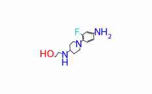 Nc1ccc(N2CCC(NCCO)CC2)c(F)c1